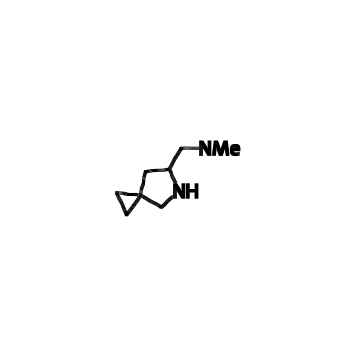 CNCC1CC2(CC2)CN1